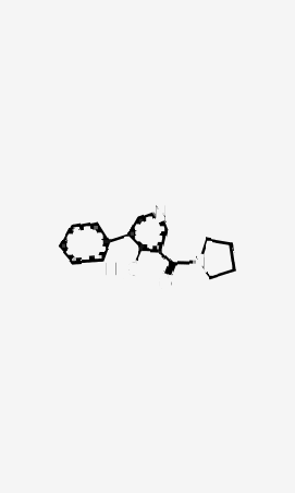 Cc1c(-c2ccccc2)[c]ncc1C(=O)N1CCCC1